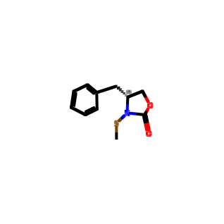 CSN1C(=O)OC[C@H]1Cc1ccccc1